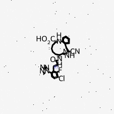 N#Cc1[nH]c2nc1-c1ccccc1N[C@@H](C(=O)O)CCCC[C@@H]2NC(=O)/C=C/c1c(-n2cnnn2)ccc(Cl)c1F